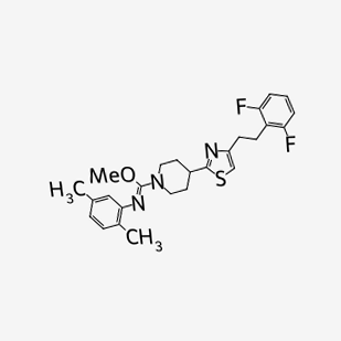 CO/C(=N\c1cc(C)ccc1C)N1CCC(c2nc(CCc3c(F)cccc3F)cs2)CC1